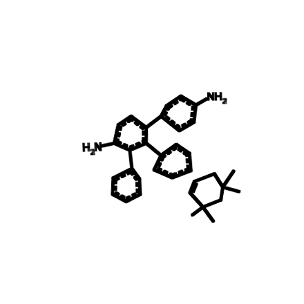 CC1(C)C=CCC(C)(C)C1.Nc1ccc(-c2ccc(N)c(-c3ccccc3)c2-c2ccccc2)cc1